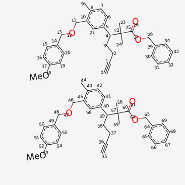 C#CCCC(c1ccc(C)c(COCc2ccc(OC)cc2)c1)C(C)(C)C(=O)OCc1ccccc1.C#CCCC(c1ccc(C)c(COCc2ccc(OC)cc2)c1)C(C)(C)C(=O)OCc1ccccc1